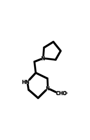 O=[C]N1CCNC(CN2CCCC2)C1